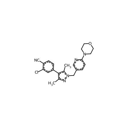 Cc1nn(Cc2ccc(N3CCOCC3)nc2)c(C)c1-c1ccc(C#N)c(Cl)c1